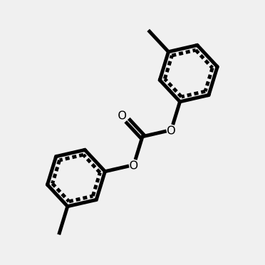 Cc1cccc(OC(=O)Oc2cccc(C)c2)c1